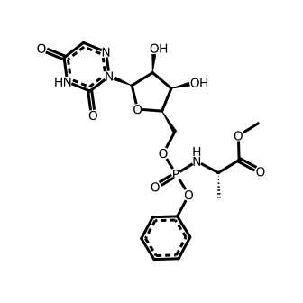 COC(=O)[C@H](C)NP(=O)(OC[C@H]1O[C@@H](n2ncc(=O)[nH]c2=O)[C@@H](O)[C@H]1O)Oc1ccccc1